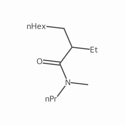 CCCCCCCC(CC)C(=O)N(C)CCC